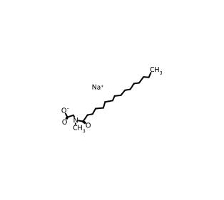 CCCCCCCCCCCCCCCC(=O)N(C)CC(=O)[O-].[Na+]